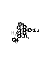 Cc1cc(-c2coc3ccccc23)cc(C)c1N1c2cccc3c2B(c2cc(C(C)(C)C)ccc2N3c2ccc(C(C)(C)C)cc2)c2c1sc1ccc(C(C)(C)C)cc21